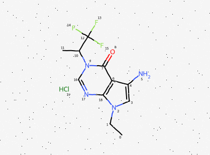 CCn1cc(N)c2c(=O)n(C(C)C(F)(F)F)cnc21.Cl